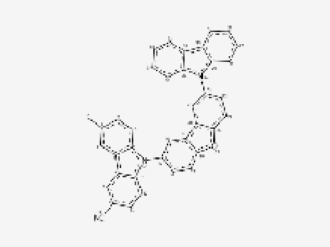 Cc1ccc2c(c1)c1cc(C#N)ccc1n2-c1ccc2oc3ccc(-n4c5ccccc5c5ccccc54)cc3c2c1